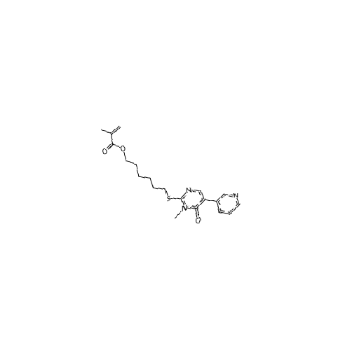 C=C(C)C(=O)OCCCCCCSc1ncc(-c2cccnc2)c(=O)n1C